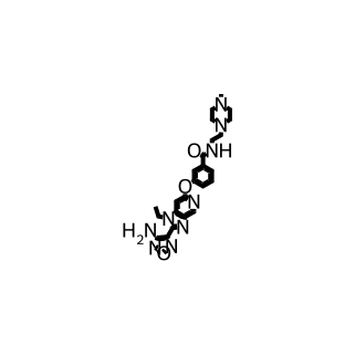 CCn1c(-c2nonc2N)nc2cnc(Oc3cccc(C(=O)NCCN4CCN(C)CC4)c3)cc21